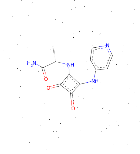 C[C@H](Nc1c(Nc2ccncc2)c(=O)c1=O)C(N)=O